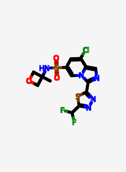 CC1(NS(=O)(=O)c2cc(Cl)c3cnc(-c4nnc(C(F)F)s4)n3c2)COC1